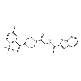 O=C(NCC(=O)N1CCN(C(=O)c2cc(F)ccc2C(F)(F)F)CC1)c1cn2ccccc2n1